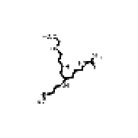 CCCCNCCNC(CCCNC(N)=O)CNCCNCC(=O)O